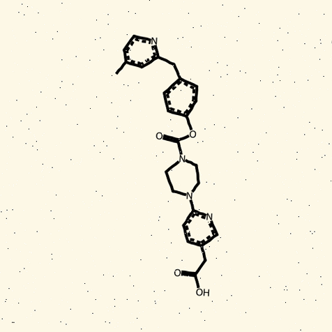 Cc1ccnc(Cc2ccc(OC(=O)N3CCN(c4ccc(CC(=O)O)cn4)CC3)cc2)c1